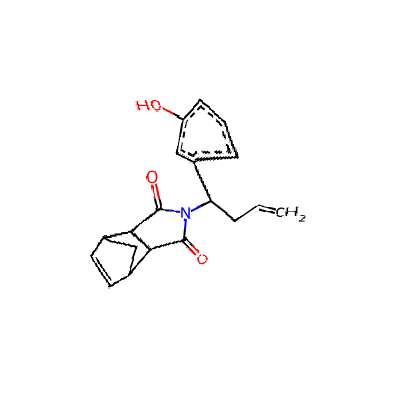 C=CCC(c1cccc(O)c1)N1C(=O)C2C3C=CC(C3)C2C1=O